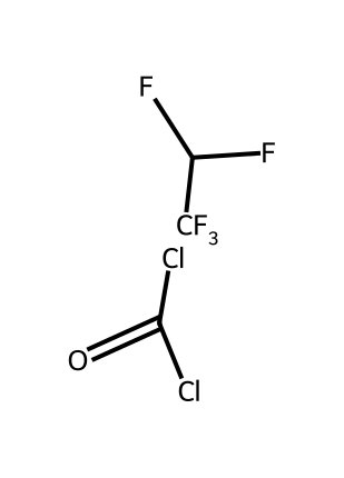 FC(F)C(F)(F)F.O=C(Cl)Cl